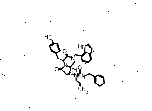 C=CCN(C(=O)NCC1=CCCC=C1)N1CC(=O)N2[C@@H](Cc3ccc(O)cc3)C(=O)N(Cc3cccc4nc[nH]c34)C[C@@H]21